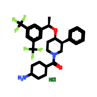 C[C@@H](O[C@@H]1CCN(C(=O)C2CCC(N)CC2)C[C@@H]1c1ccccc1)c1cc(C(F)(F)F)cc(C(F)(F)F)c1.Cl